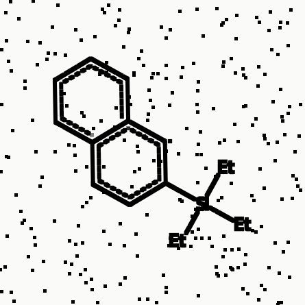 CC[Si](CC)(CC)c1[c]c2ccccc2cc1